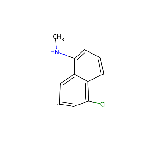 CNc1cccc2c(Cl)c[c]cc12